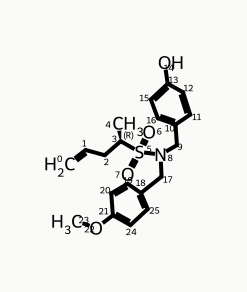 C=CC[C@@H](C)S(=O)(=O)N(Cc1ccc(O)cc1)Cc1ccc(OC)cc1